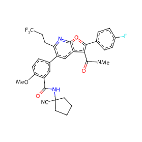 CNC(=O)c1c(-c2ccc(F)cc2)oc2nc(CCC(F)(F)F)c(-c3ccc(OC)c(C(=O)NC4(C#N)CCCC4)c3)cc12